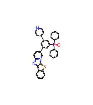 O=P(c1ccccc1)(c1ccccc1)c1cc(-c2ccncc2)cc(-c2ccc3nc4c5ccccc5sc4n3c2)c1